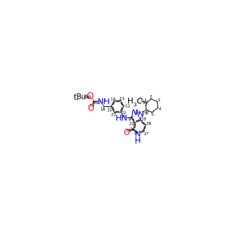 C[C@H]1CCCC[C@@H]1n1nc(Nc2cccc(CNC(=O)OC(C)(C)C)c2)c2c(=O)[nH]ccc21